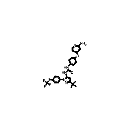 CC(C)(C)c1cc(NC(=O)Nc2ccc(Oc3ccnc(N)c3)cc2)n(-c2ccc(SC(F)(F)F)cc2)n1